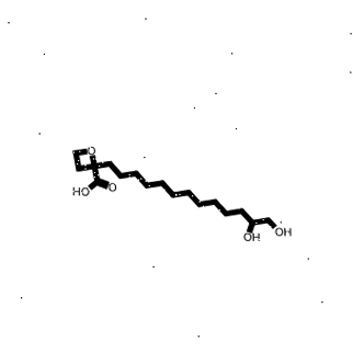 O=C(O)C1(CCCCCCCCCCCC(O)CO)CCO1